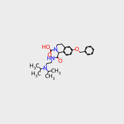 CC(C)N(CCNC(=O)C1c2ccc(OCc3ccccc3)cc2CCN1C(=O)O)C(C)C